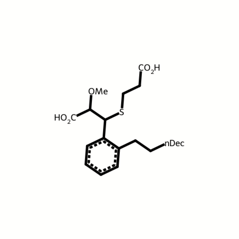 CCCCCCCCCCCCc1ccccc1C(SCCC(=O)O)C(OC)C(=O)O